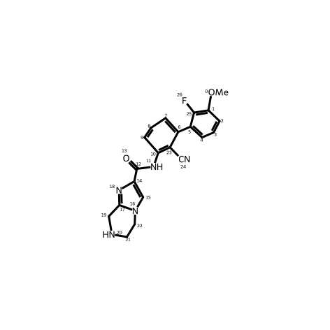 COc1cccc(-c2cccc(NC(=O)c3cn4c(n3)CNCC4)c2C#N)c1F